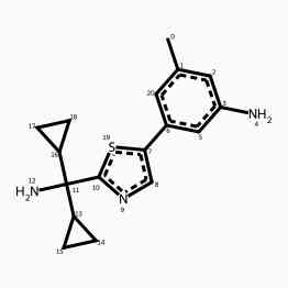 Cc1cc(N)cc(-c2cnc(C(N)(C3CC3)C3CC3)s2)c1